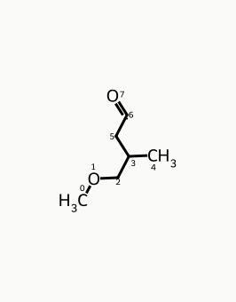 COCC(C)C[C]=O